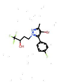 Cc1nn(CCC(O)C(F)(F)F)c(-c2ccc(F)cc2)c1Br